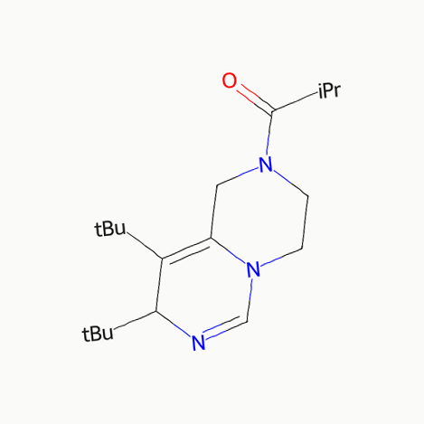 CC(C)C(=O)N1CCN2C=NC(C(C)(C)C)C(C(C)(C)C)=C2C1